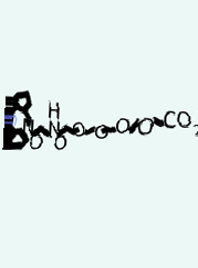 O=C(O)CCOCCOCCOCCOCCC(=O)NCCC(=O)N1Cc2ccccc2/C=C\c2ccccc21